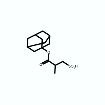 CC(CS(=O)(=O)O)C(=O)OC12CC3CC(CC(C3)C1)C2